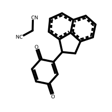 N#CCC#N.O=C1C=CC(=O)C(C2Cc3cccc4cccc2c34)=C1